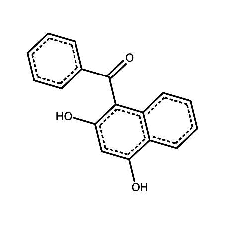 O=C(c1ccccc1)c1c(O)cc(O)c2ccccc12